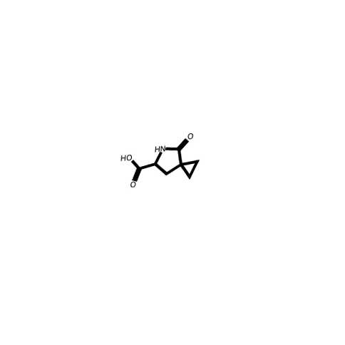 O=C(O)C1CC2(CC2)C(=O)N1